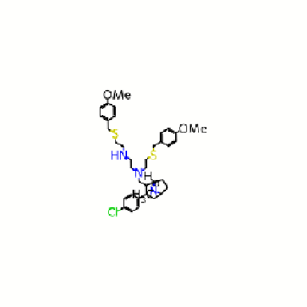 COc1ccc(CSCCNCCN(CCSCc2ccc(OC)cc2)CC2C(c3ccc(Cl)cc3)CC3CC[C@@H]2N3C)cc1